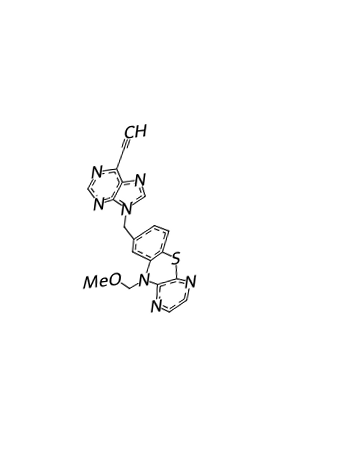 C#Cc1ncnc2c1ncn2Cc1ccc2c(c1)N(COC)c1nccnc1S2